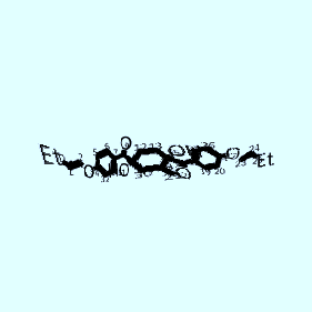 CCC=COc1ccc(C(=O)C2(O)C=CC(O)(C(=O)c3ccc(OC=CCC)cc3)C(C)=C2)cc1